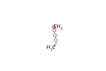 CCCCC1CCC(C2CCC(C3CCC(OC)CC3)CC2)CC1